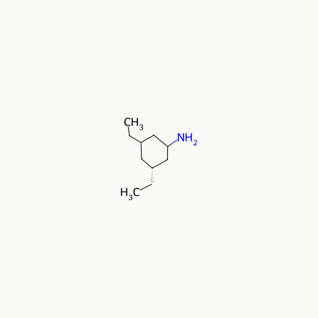 CCC1CC(N)C[C@H](CC)C1